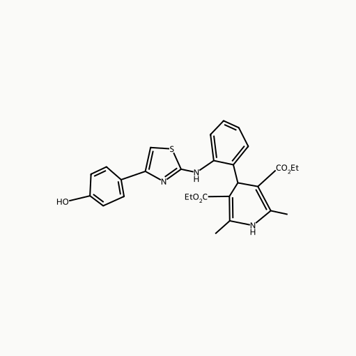 CCOC(=O)C1=C(C)NC(C)=C(C(=O)OCC)C1c1ccccc1Nc1nc(-c2ccc(O)cc2)cs1